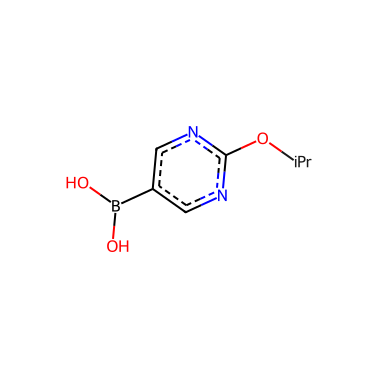 CC(C)Oc1ncc(B(O)O)cn1